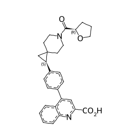 O=C(O)c1cc(-c2ccc([C@H]3CC34CCN(C(=O)[C@H]3CCCO3)CC4)cc2)c2ccccc2n1